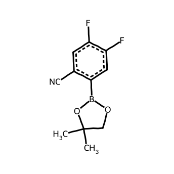 CC1(C)COB(c2cc(F)c(F)cc2C#N)O1